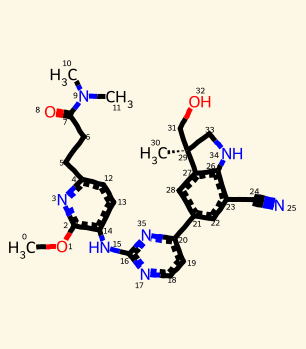 COc1nc(CCC(=O)N(C)C)ccc1Nc1nccc(-c2cc(C#N)c3c(c2)[C@@](C)(CO)CN3)n1